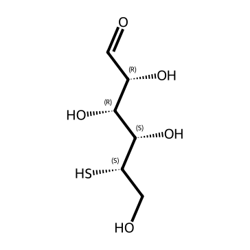 O=C[C@H](O)[C@@H](O)[C@H](O)[C@@H](S)CO